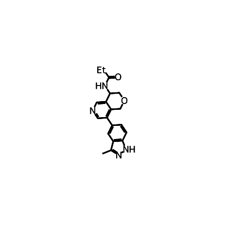 CCC(=O)NC1COCc2c(-c3ccc4[nH]nc(C)c4c3)cncc21